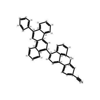 N#Cc1ccc2c(c1)Oc1cccc3c(-c4cc5c6ccccc6c(-c6ccccc6)cc5c5ccccc45)ccc-2c13